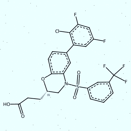 O=C(O)CC[C@H]1CN(S(=O)(=O)c2cccc(C(F)(F)F)c2)c2cc(-c3cc(F)cc(F)c3Cl)ccc2O1